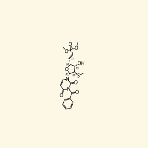 COP(=O)(/C=C/[C@H]1O[C@@H](n2ccc(=O)n(C(=O)c3ccccc3)c2=O)[C@H](SC)[C@@H]1O)OC